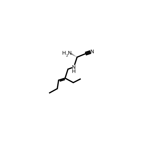 CC/C=C(\CC)CN[C@H](N)C#N